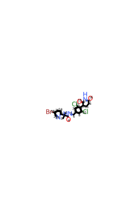 CC(C)(C(=O)NCc1cc(Cl)c(C2CCC(=O)NC2=O)c(Cl)c1)c1ccc(Br)cn1